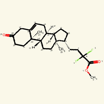 COC(=O)C(F)(F)CC[C@H]1CC[C@H]2[C@@H]3CC=C4CC(=O)CC[C@]4(C)[C@H]3CC[C@]12C